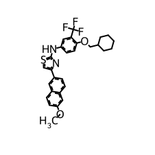 COc1ccc2cc(-c3csc(Nc4ccc(OCC5CCCCC5)c(C(F)(F)F)c4)n3)ccc2c1